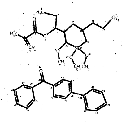 C=C(C)C(=O)OC(CC)C1CC(CCC)C[Si](OC)(OC)C1OC.O=C(c1ccccc1)c1ccc(-c2ccccc2)cc1